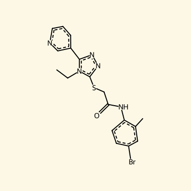 CCn1c(SCC(=O)Nc2ccc(Br)cc2C)nnc1-c1cccnc1